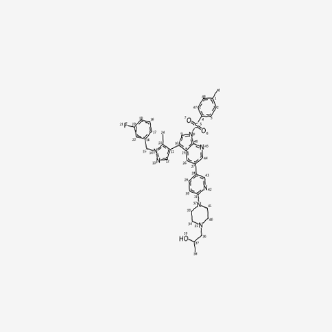 Cc1ccc(S(=O)(=O)n2cc(-c3cnn(Cc4cccc(F)c4)c3C)c3cc(-c4ccc(N5CCN(CC(C)O)CC5)nc4)cnc32)cc1